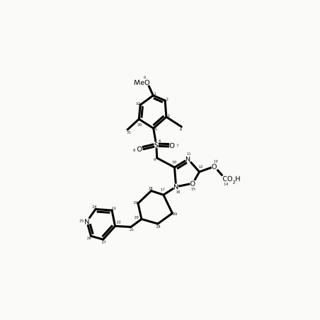 COc1cc(C)c(S(=O)(=O)CC2=NC(OC(=O)O)ON2C2CCC(Cc3ccncc3)CC2)c(C)c1